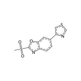 CS(=O)(=O)c1nc2ccc(-c3cscn3)cc2o1